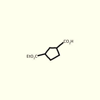 CCOC(=O)C1CCC(C(=O)O)C1